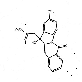 COC(=O)CC1(O)c2cc([N+](=O)[O-])ccc2-n2c1nc1ccccc1c2=O